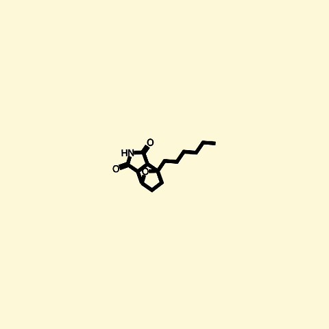 CCCCCCC12CCC(O1)C1C(=O)NC(=O)C12